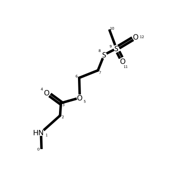 CNCC(=O)OCCSS(C)(=O)=O